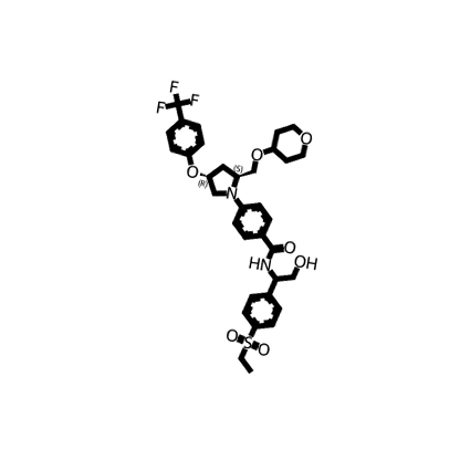 CCS(=O)(=O)c1ccc(C(CO)NC(=O)c2ccc(N3C[C@H](Oc4ccc(C(F)(F)F)cc4)C[C@H]3COC3CCOCC3)cc2)cc1